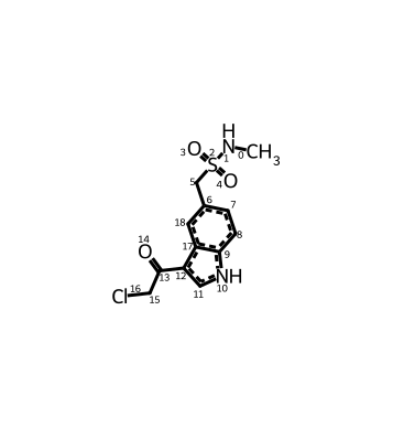 CNS(=O)(=O)Cc1ccc2[nH]cc(C(=O)CCl)c2c1